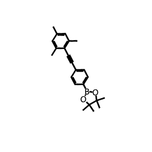 Cc1cc(C)c(C#Cc2ccc(B3OC(C)(C)C(C)(C)O3)cc2)c(C)c1